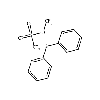 O=S(=O)(OC(F)(F)F)C(F)(F)F.c1ccc(Sc2ccccc2)cc1